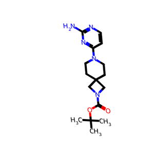 CC(C)(C)OC(=O)N1CC2(CCN(c3ccnc(N)n3)CC2)C1